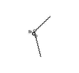 CCCCCCCCCCCCCCCCOc1ccc(Br)c(OCCCCCCCCCCCCCCCC)c1